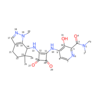 CN(C)C(=O)c1nccc(Nc2c(NC3c4c(cnn4C)CCC3(C)C)c(=O)c2=O)c1O